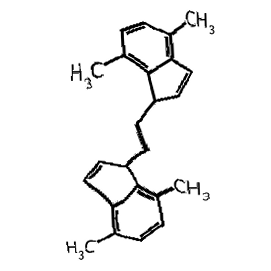 Cc1ccc(C)c2c1C=CC2CCC1C=Cc2c(C)ccc(C)c21